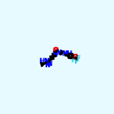 O=C(N1CC(NCc2ccc(OC(F)(F)F)cc2)C1)N1CC2(CC(c3nnc(C4CC4)[nH]3)C2)C1